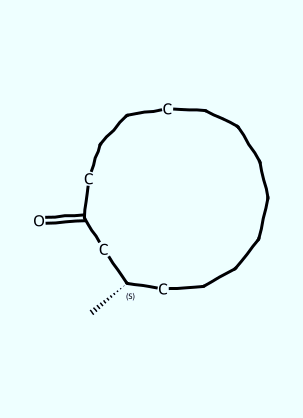 C[C@H]1CCCCCCCCCCCCC(=O)C1